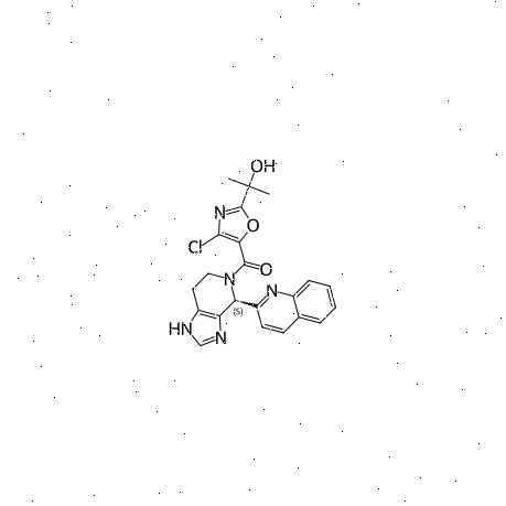 CC(C)(O)c1nc(Cl)c(C(=O)N2CCc3[nH]cnc3[C@@H]2c2ccc3ccccc3n2)o1